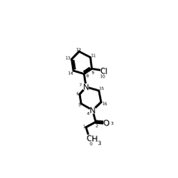 CCC(=O)N1CCN(C2=C(Cl)CCC=C2)CC1